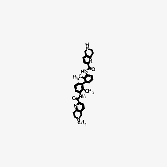 Cc1c(NC(=O)c2ccc3c(n2)CCNC3)cccc1-c1cccc(NC(=O)c2ccc3c(n2)CCN(C)C3)c1C